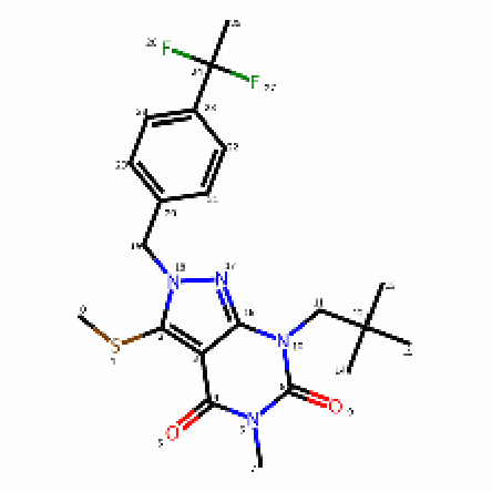 CSc1c2c(=O)n(C)c(=O)n(CC(C)(C)C)c2nn1Cc1ccc(C(C)(F)F)cc1